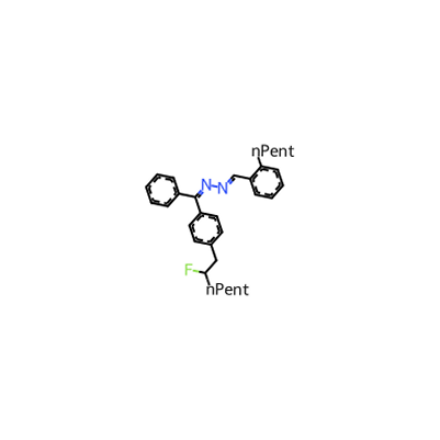 CCCCCc1ccccc1C=NN=C(c1ccccc1)c1ccc(CC(F)CCCCC)cc1